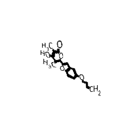 C=CCCOc1ccc2oc(-c3oc(=O)c(C)c(O)c3C)cc2c1